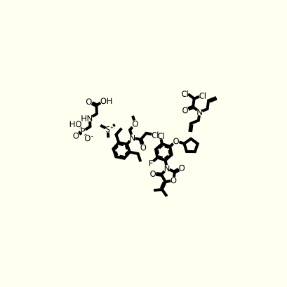 C=CCN(CC=C)C(=O)C(Cl)Cl.CC(C)=C1OC(=O)N(c2cc(OC3CCCC3)c(Cl)cc2F)C1=O.CCc1cccc(CC)c1N(COC)C(=O)CCl.C[S+](C)C.O=C(O)CNCP(=O)([O-])O